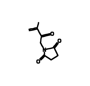 C=C(C)C(=O)CN1C(=O)CCC1=O